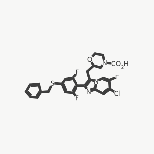 O=C(O)N1CCOC(Cc2c(-c3c(F)cc(SCc4ccccc4)cc3F)nc3cc(Cl)c(F)cn23)C1